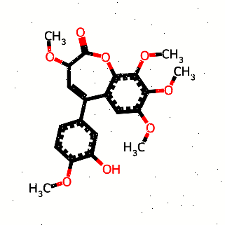 COc1ccc(C2=CC(OC)C(=O)Oc3c2cc(OC)c(OC)c3OC)cc1O